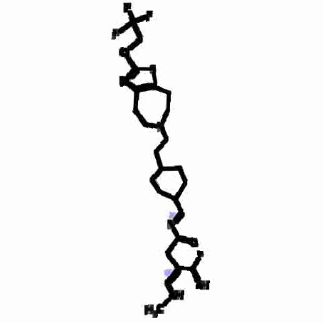 CN/C=C(/CC(=O)/N=C/C1CCC(CCN2CCc3nc(OCC(F)(F)F)sc3CC2)CC1)C(=N)F